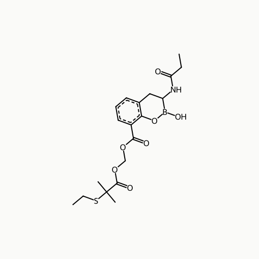 CCSC(C)(C)C(=O)OCOC(=O)c1cccc2c1OB(O)C(NC(=O)CC)C2